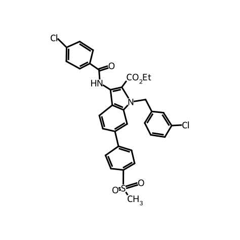 CCOC(=O)c1c(NC(=O)c2ccc(Cl)cc2)c2ccc(-c3ccc(S(C)(=O)=O)cc3)cc2n1Cc1cccc(Cl)c1